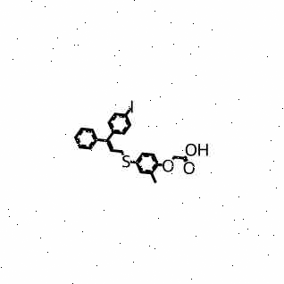 Cc1cc(SC/C=C(/c2ccccc2)c2ccc(I)cc2)ccc1OCC(=O)O